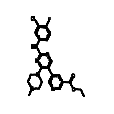 CCOC(=O)c1cncc(-c2cnc(Nc3ccc(F)c(Cl)c3)nc2N2CCN(C)CC2)c1